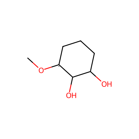 CO[C]1CCCC(O)C1O